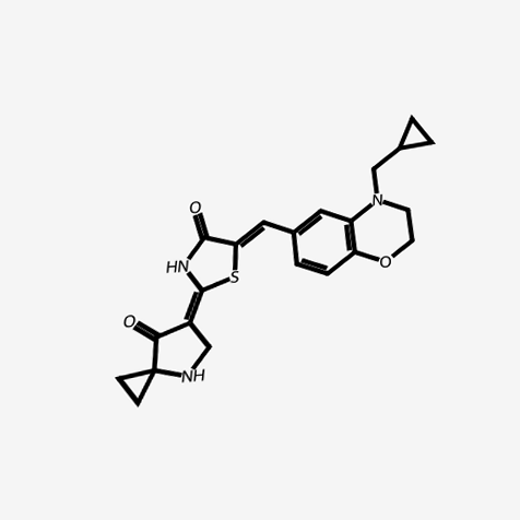 O=C1/C(=c2\[nH]c(=O)/c(=C/c3ccc4c(c3)N(CC3CC3)CCO4)s2)CNC12CC2